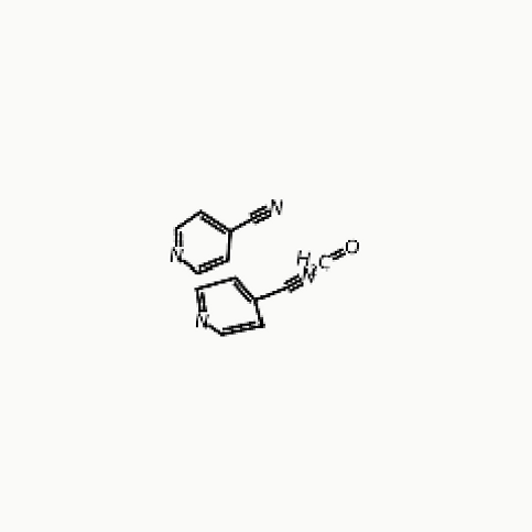 C=O.N#Cc1ccncc1.N#Cc1ccncc1